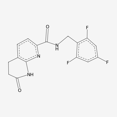 O=C1CCc2ccc(C(=O)NCc3c(F)cc(F)cc3F)nc2N1